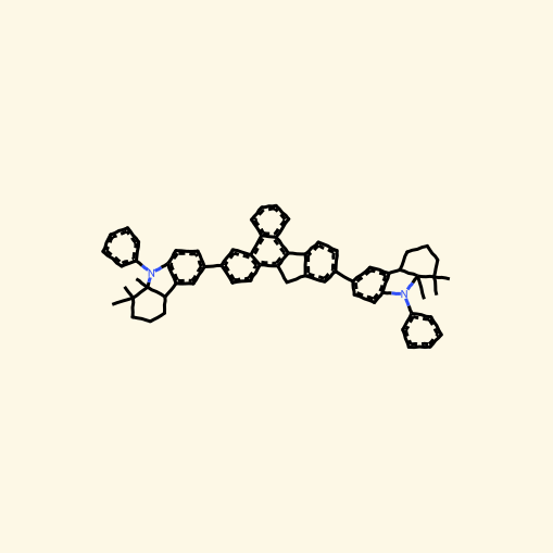 CC1(C)CCCC2c3cc(-c4ccc5c(c4)Cc4c-5c5ccccc5c5cc(-c6ccc7c(c6)C6CCCC(C)(C)C6(C)N7c6ccccc6)ccc45)ccc3N(c3ccccc3)C21C